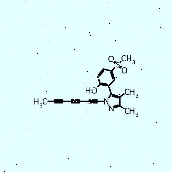 CC#CC#CC#Cn1nc(C)c(C)c1-c1cc(S(C)(=O)=O)ccc1O